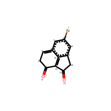 O=C1CC=c2cc(Br)cc3c2=C1C(=O)C3